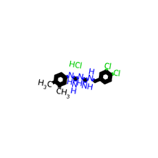 Cc1ccc(NC(=N)NC(=N)NCc2ccc(Cl)c(Cl)c2)cc1C.Cl